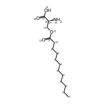 CCCCCCCCCCCC(=O)OC[C@H](N)C(=O)O